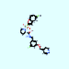 O=C(NCc1cc(F)cc(OCc2ccncc2)c1)[C@@H]1CCCN1S(=O)(=O)c1cc2cc(F)ccc2o1